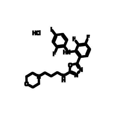 Cl.Fc1cc(I)ccc1Nc1c(-c2nnc(NCCCN3CCOCC3)o2)ccc(F)c1F